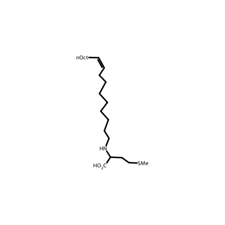 CCCCCCCC/C=C\CCCCCCCCNC(CCSC)C(=O)O